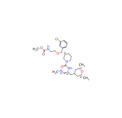 CNC[C@H](CC1C[C@@H](C)O[C@@H](C)C1)NC(=O)N1CCC[C@@H](C(OCCNC(=O)OC)c2cccc(Cl)c2)C1